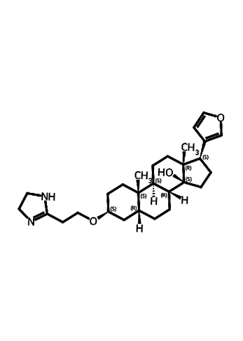 C[C@]12CC[C@H](OCCC3=NCCN3)C[C@H]1CC[C@@H]1[C@@H]2CC[C@]2(C)[C@@H](c3ccoc3)CC[C@]12O